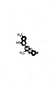 Cc1ccc2c(c1)C(O)CN(c1nc(C)n(Cc3ccc(F)cc3)c(=O)n1)C2